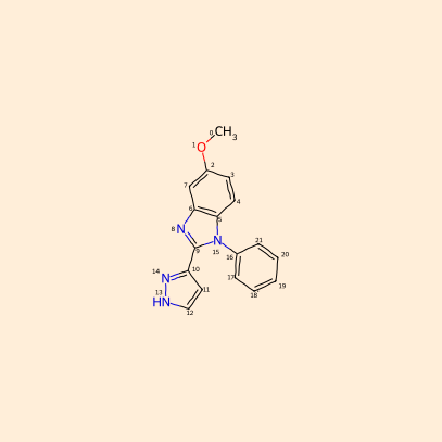 COc1ccc2c(c1)nc(-c1cc[nH]n1)n2-c1c[c]ccc1